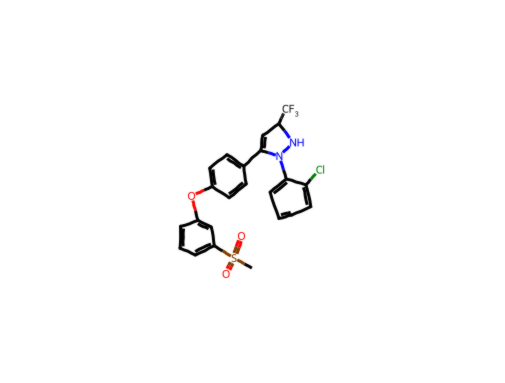 CS(=O)(=O)c1cccc(Oc2ccc(C3=CC(C(F)(F)F)NN3c3ccccc3Cl)cc2)c1